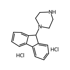 Cl.Cl.c1ccc2c(c1)-c1ccccc1C2N1CCNCC1